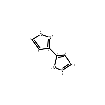 C1=CC(c2cnno2)=N[N]1